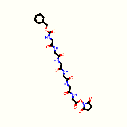 O=C(CNC(=O)CNC(=O)CNC(=O)OCc1ccccc1)NCC(=O)NCC(=O)NCC(=O)ON1C(=O)CCC1=O